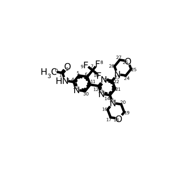 CC(=O)Nc1cc(C(F)(F)F)c(-c2nc(N3CCOCC3)cc(N3CCOCC3)n2)cn1